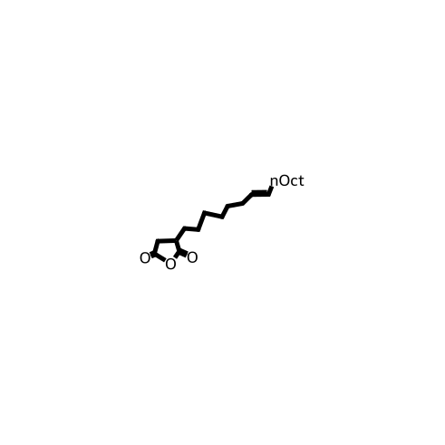 CCCCCCCCC=CCCCCCCC1CC(=O)OC1=O